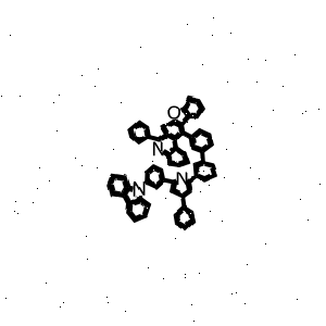 c1ccc(-c2cc(-c3cccc(-c4cccc(-c5c6c(cc7c(-c8ccccc8)nc8ccccc8c57)oc5ccccc56)c4)c3)nc(-c3cccc(-n4c5ccccc5c5ccccc54)c3)c2)cc1